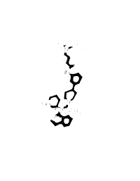 Cc1cccc2ccnc(N(C(=O)N3CCC(c4cccc(NC(=O)/C=C/CN(C)C)c4)CC3)[C@@H]3CCCNC3)c12